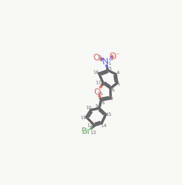 O=[N+]([O-])c1ccc2cc(-c3ccc(Br)cc3)oc2c1